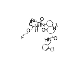 CCC(C)C(NC(=O)COCCF)C(=O)N[C@H]1CCc2ccn3c2C1C(=O)C[C@H](C(=O)NCc1ccccc1Cl)C3